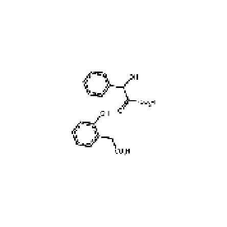 O=C(O)C(=O)C(O)c1ccccc1.O=C(O)Cc1ccccc1O